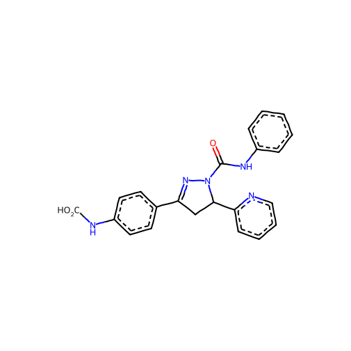 O=C(O)Nc1ccc(C2=NN(C(=O)Nc3ccccc3)C(c3ccccn3)C2)cc1